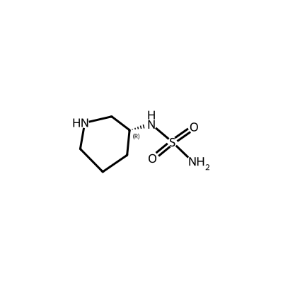 NS(=O)(=O)N[C@@H]1CCCNC1